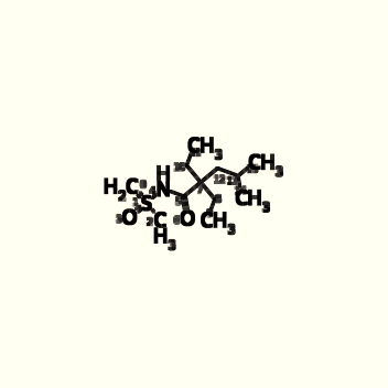 C=S(C)(=O)NC(=O)C(CC)(CC)CC(C)C